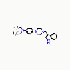 CCN(CC)c1ccc(N2CCN(Cc3c[nH]c4ccccc34)CC2)cc1